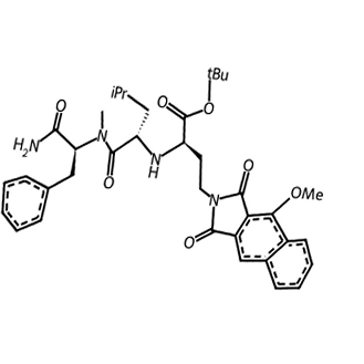 COc1c2c(cc3ccccc13)C(=O)N(CC[C@@H](N[C@@H](CC(C)C)C(=O)N(C)[C@@H](Cc1ccccc1)C(N)=O)C(=O)OC(C)(C)C)C2=O